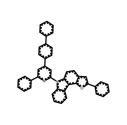 c1ccc(-c2ccc(-c3cc(-c4ccccc4)nc(-n4c5ccccc5c5c6oc(-c7ccccc7)cc6ccc54)c3)cc2)cc1